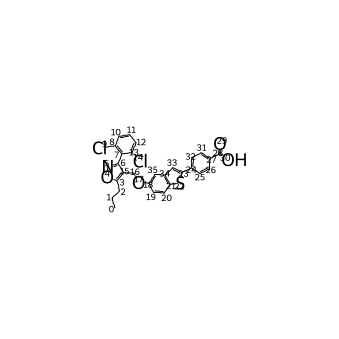 CCCc1onc(-c2c(Cl)cccc2Cl)c1COc1ccc2sc(-c3ccc(C(=O)O)cc3)cc2c1